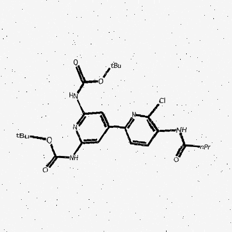 CCCC(=O)Nc1ccc(-c2cc(NC(=O)OC(C)(C)C)nc(NC(=O)OC(C)(C)C)c2)nc1Cl